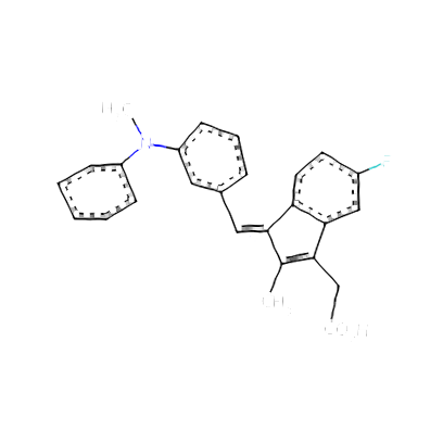 CC1=C(CC(=O)O)c2cc(F)ccc2/C1=C\c1cccc(N(C)c2ccccc2)c1